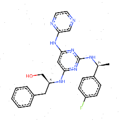 C[C@H](Nc1nc(Nc2cnccn2)cc(N[C@H](CO)Cc2ccccc2)n1)c1ccc(F)cc1